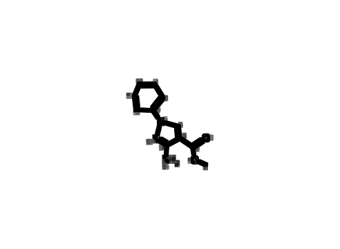 COC(=O)c1cn(-c2ccccc2)nc1N